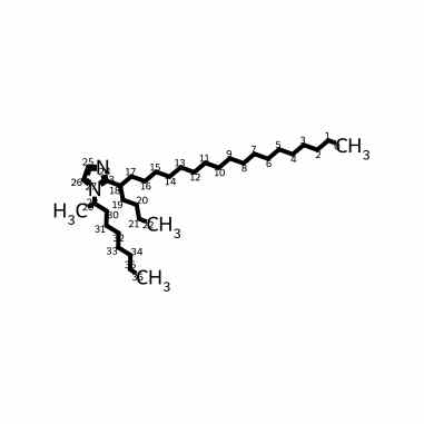 CCCCCCCCCCCCCCCCCCC(CCCC)c1nccn1C(C)CCCCCCC